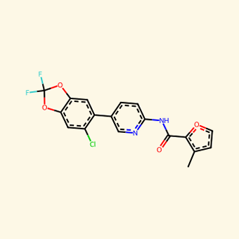 Cc1ccoc1C(=O)Nc1ccc(-c2cc3c(cc2Cl)OC(F)(F)O3)cn1